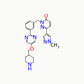 Cn1cc(-c2ccc(=O)n(Cc3cccc(-c4ncc(OCC5CCNCC5)cn4)c3)n2)cn1